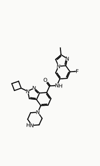 Cc1cn2cc(NC(=O)c3ccc(N4CCNCC4)c4cn(C5CCC5)nc34)cc(F)c2n1